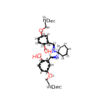 CCCCCCCCCCCOc1ccc(O)c(C=NC2(N=Cc3cc(OCCCCCCCCCCC)ccc3O)CCCCC2)c1